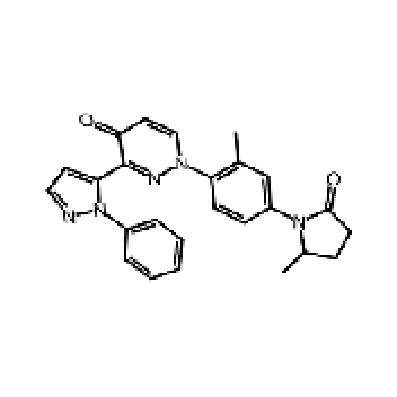 Cc1cc(N2C(=O)CCC2C)ccc1-n1ccc(=O)c(-c2ccnn2-c2ccccc2)n1